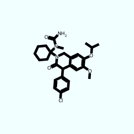 COc1cc2c(cc1OC(C)C)CN(C1(N(C)C(N)=O)CCCCC1)C(=O)C2c1ccc(Cl)cc1